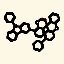 C1=CCCC(C2=CC3=C(CC2)Oc2ccccc2C32c3ccccc3Oc3c(-c4ccc5c(c4)c4ccccc4n5-c4ccccc4)cccc32)=C1